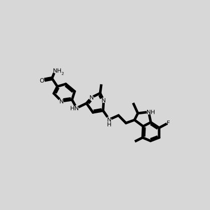 Cc1nc(NCCC2c3c(C)ccc(F)c3NC2C)cc(Nc2ccc(C(N)=O)cn2)n1